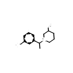 CC(c1cccc(Cl)c1)N1CCCC(O)C1